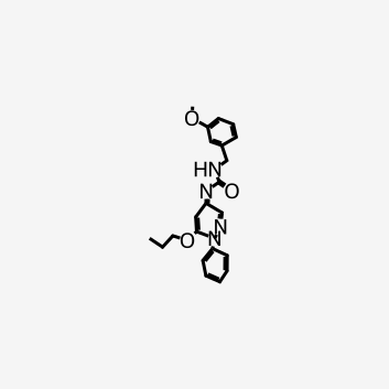 CCCOc1cc(=NC(=O)NCc2cccc(OC)c2)cnn1-c1ccccc1